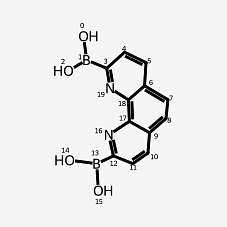 OB(O)c1ccc2ccc3ccc(B(O)O)nc3c2n1